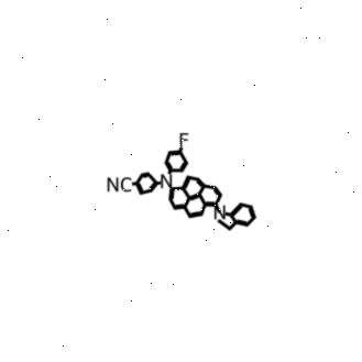 N#Cc1ccc(N(c2ccc(F)cc2)c2ccc3ccc4c(N5CCc6ccccc65)ccc5ccc2c3c54)cc1